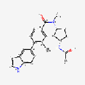 CCC(=O)N[C@H]1CC[C@@H](N(C)C(=O)c2ccc(-c3ccc4[nH]ccc4c3)c(C)c2)C1